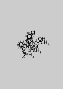 CC(O)CCn1c(=O)c2c(nc(-c3cccnc3OCC3CC3)n2Cc2ccc(Cl)cc2)n(C(C)C)c1=O